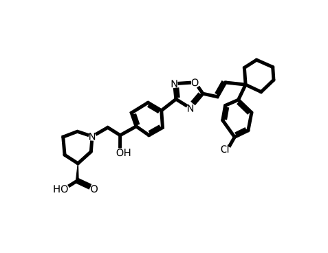 O=C(O)[C@H]1CCCN(CC(O)c2ccc(-c3noc(/C=C/C4(c5ccc(Cl)cc5)CCCCC4)n3)cc2)C1